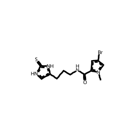 Cn1cc(Br)cc1C(=O)NCCCc1c[nH]c(=S)[nH]1